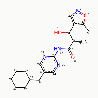 Cc1oncc1C(O)C(C#N)C(=O)Nc1ncc(CC2CCCCC2)cn1